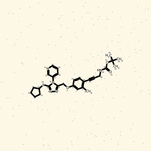 Cc1cc(OCc2nnc(SC3CCCC3)n2-c2cccnc2)ccc1C#CCNC(=O)OC(C)(C)C